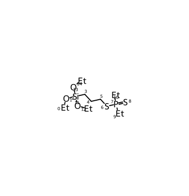 CCO[Si](CCCSP(=S)(CC)CC)(OCC)OCC